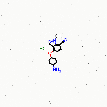 Cl.Cn1ncc2c(OC3CCC(N)CC3)ccc(C#N)c21